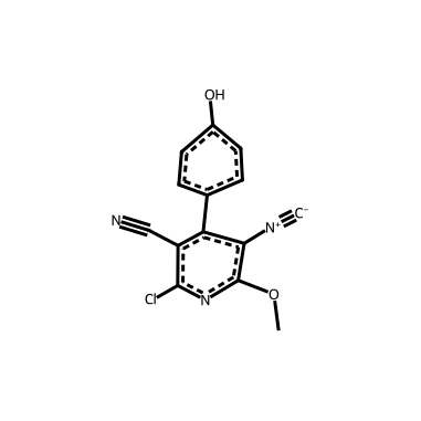 [C-]#[N+]c1c(OC)nc(Cl)c(C#N)c1-c1ccc(O)cc1